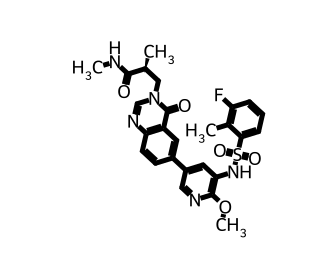 CNC(=O)[C@@H](C)Cn1cnc2ccc(-c3cnc(OC)c(NS(=O)(=O)c4cccc(F)c4C)c3)cc2c1=O